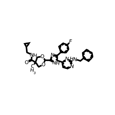 CC1(C(=O)NCC2CC2)COC(c2nc(-c3ccc(F)cc3)c(-c3ccnc(NCc4ccccc4)n3)[nH]2)OC1